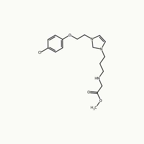 COC(=O)CNCCCN1C=CN(CCOc2ccc(Cl)cc2)C1